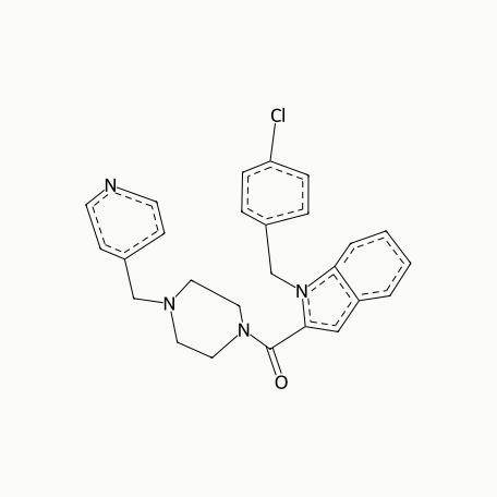 O=C(c1cc2ccccc2n1Cc1ccc(Cl)cc1)N1CCN(Cc2ccncc2)CC1